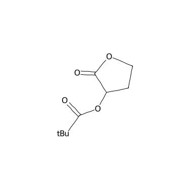 CC(C)(C)C(=O)OC1CCOC1=O